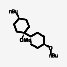 CCCCO[C@H]1CC[C@H]([C@]2(OC)CC[C@H](CCCC)CC2)CC1